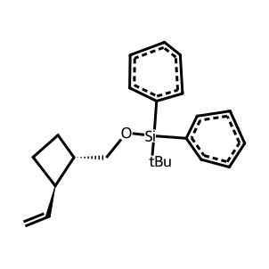 C=C[C@H]1CC[C@@H]1CO[Si](c1ccccc1)(c1ccccc1)C(C)(C)C